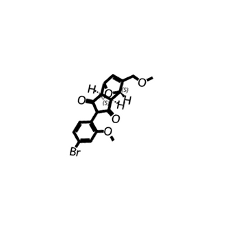 COCC1=CC2O[C@H]1[C@H]1C(=O)C(c3ccc(Br)cc3OC)C(=O)[C@@H]21